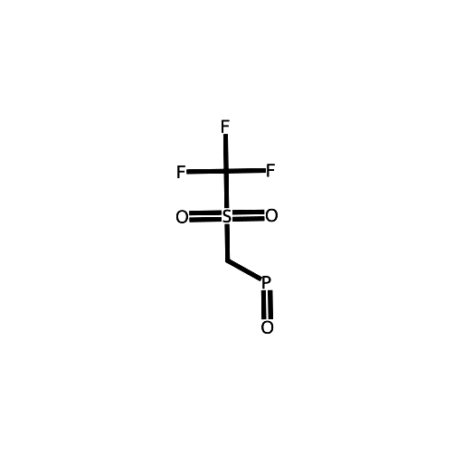 O=PCS(=O)(=O)C(F)(F)F